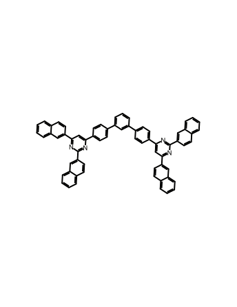 c1cc(-c2ccc(-c3cc(-c4ccc5ccccc5c4)nc(-c4ccc5ccccc5c4)n3)cc2)cc(-c2ccc(-c3cc(-c4ccc5ccccc5c4)nc(-c4ccc5ccccc5c4)n3)cc2)c1